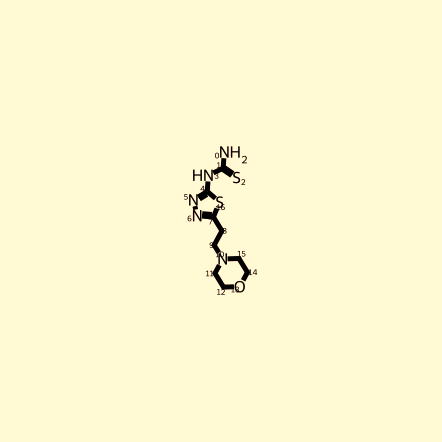 NC(=S)Nc1nnc(CCN2CCOCC2)s1